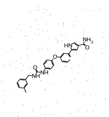 C=C(/C=C(\C=C/C)Oc1ccc(NC(=O)NCc2cccc(C)c2)cc1)c1cc(C(N)=O)c[nH]1